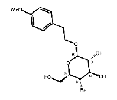 COc1ccc(CCO[C@@H]2O[C@H](CO)[C@@H](O)[C@H](O)[C@H]2O)cc1